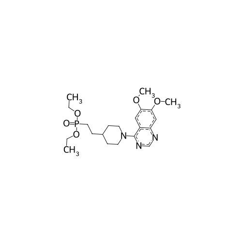 CCOP(=O)(CCC1CCN(c2ncnc3cc(OC)c(OC)cc23)CC1)OCC